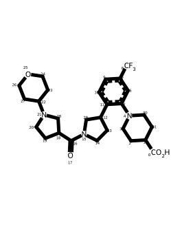 O=C(O)C1CCN(c2cc(C(F)(F)F)ccc2C2CCN(C(=O)C3CCN(C4CCOCC4)C3)C2)CC1